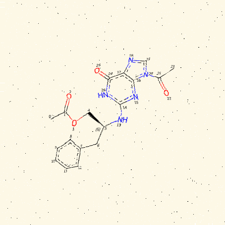 CC(=O)OC[C@H](Cc1ccccc1)Nc1nc2c(ncn2C(C)=O)c(=O)[nH]1